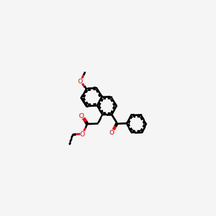 CCOC(=O)Cc1c(C(=O)c2ccccc2)ccc2cc(OC)ccc12